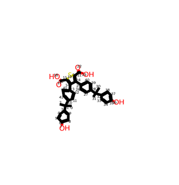 CC(C)(c1ccc(O)cc1)c1ccc(-c2c(C(=O)O)sc(C(=O)O)c2-c2ccc(C(C)(C)c3ccc(O)cc3)cc2)cc1